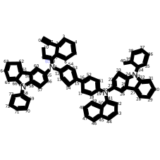 C#Cc1ccccc1/C(=C\C)N(c1ccc(-c2ccc(N(c3ccc4c(c3)c3ccccc3n4C3C=CC=CC3C)c3cccc4ccccc34)cc2)cc1)c1ccc2c(c1)c1ccccc1n2-c1ccccc1